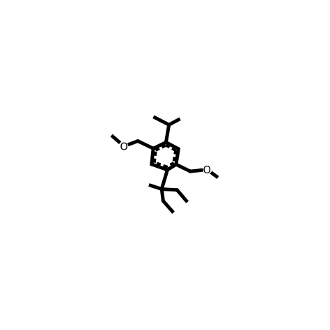 CCC(C)(CC)c1cc(COC)c(C(C)C)cc1COC